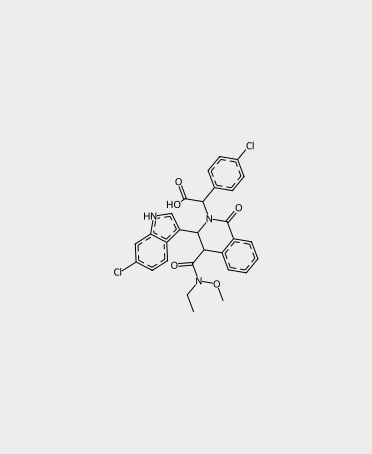 CCN(OC)C(=O)C1c2ccccc2C(=O)N(C(C(=O)O)c2ccc(Cl)cc2)C1c1c[nH]c2cc(Cl)ccc12